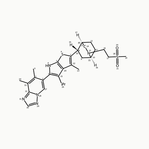 Cc1c(-c2[nH]c3sc([C@H]4C[C@@H]5CC[C@H]4CN5CCS(C)(=O)=O)c(C)c3c2C(C)C)cn2ncnc2c1C